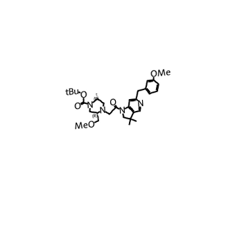 COC[C@H]1CN(C(=O)OC(C)(C)C)[C@H](C)CN1CC(=O)N1CC(C)(C)c2cnc(Cc3cccc(OC)c3)cc21